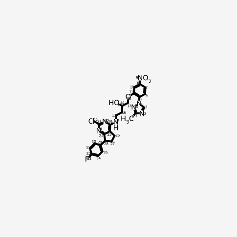 Cc1ncn(-c2ccc([N+](=O)[O-])cc2OCC(O)CCNc2nc(Cl)nc3c2CCC3c2ccc(F)cc2)n1